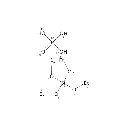 CCO[Si](OCC)(OCC)OCC.O=P(O)(O)O